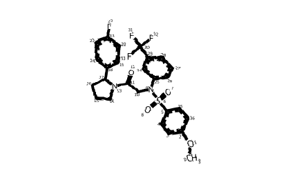 COc1ccc(S(=O)(=O)N(CC(=O)N2CCCC2c2ccc(F)cc2)c2cccc(C(F)(F)F)c2)cc1